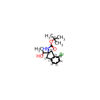 CC(O)C1(NC(=O)OC(C)(C)C)Cc2cccc(Br)c2C1